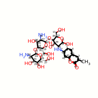 Cc1cc2ccc(N[C@H]3C(O)O[C@H](CO)[C@@H](O[C@@H]4O[C@H](CO)[C@@H](O[C@@H]5O[C@H](CO)[C@@H](O)[C@H](O)[C@H]5N)[C@H](O)[C@H]4N)[C@@H]3O)cc2oc1=O